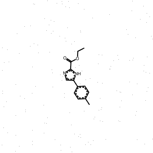 CCOC(=O)c1ncc(-c2ccc(C)cc2)[nH]1